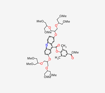 COCC(COC)OCC(COC(COC)COC)Oc1ccc2nc3ccc(OC(COC(COC)COC)COC(COC)COC)cc3c(C(=O)Oc3c(C)cc(C(=O)OC)cc3C)c2c1